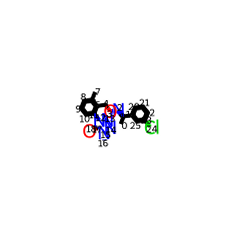 CC(=NOCc1c(C)cccc1-n1nnn(C)c1=O)c1cccc(Cl)c1